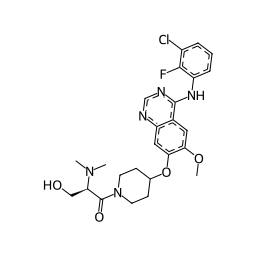 COc1cc2c(Nc3cccc(Cl)c3F)ncnc2cc1OC1CCN(C(=O)[C@@H](CO)N(C)C)CC1